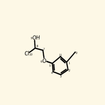 Cc1cccc(OCC(O)Cl)c1